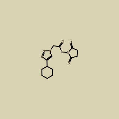 O=C(Cn1cc(C2CCCCC2)nn1)ON1C(=O)CCC1=O